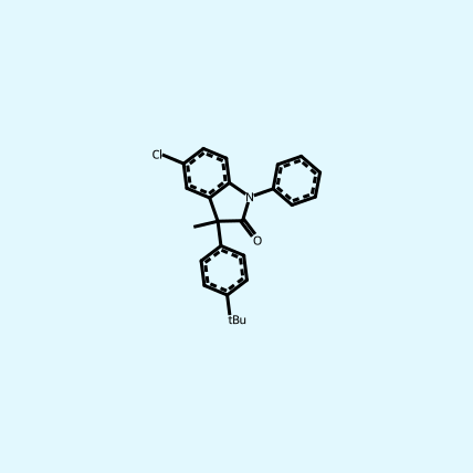 CC(C)(C)c1ccc(C2(C)C(=O)N(c3ccccc3)c3ccc(Cl)cc32)cc1